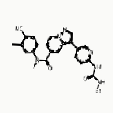 CCNC(=O)Nc1ccc(-c2cnn3ccc(C(=O)N(C)c4ccc(C#N)c(C)c4)cc23)cn1